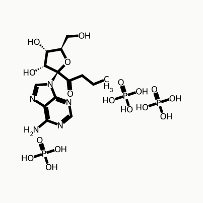 CCCC(=O)[C@@]1(n2cnc3c(N)ncnc32)O[C@H](CO)[C@@H](O)[C@H]1O.O=P(O)(O)O.O=P(O)(O)O.O=P(O)(O)O